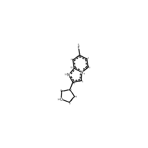 Fc1ccn2cc(C3CCOC3)nc2c1